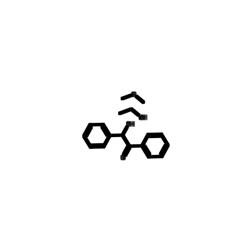 CCO.COC.O=C(c1ccccc1)C(O)c1ccccc1